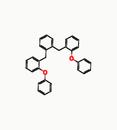 c1ccc(Oc2ccccc2Cc2ccccc2Cc2ccccc2Oc2ccccc2)cc1